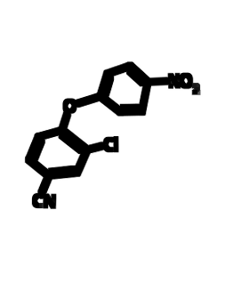 N#Cc1ccc(Oc2ccc([N+](=O)[O-])cc2)c(Cl)c1